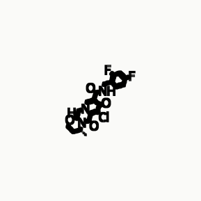 C[C@@H]1CCO[C@H]2Cn3cc(C(=O)NCc4ccc(F)cc4F)c(=O)c(Cl)c3C(=O)N12